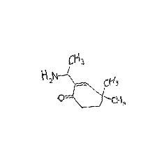 CC(N)C1=CC(C)(C)CCC1=O